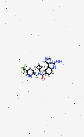 Nc1nc2ccc(C(=O)N(Cc3ccc(C(F)(F)F)cn3)C34CC(C3)C4)cc2c2cncn12